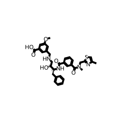 COc1cc(CNC[C@@H](O)[C@H](Cc2ccccc2)NC(=O)c2cccc(C(=O)N(C)Cc3nc(C)cs3)c2)cc(C(=O)O)c1